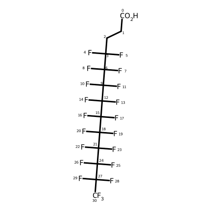 O=C(O)CCC(F)(F)C(F)(F)C(F)(F)C(F)(F)C(F)(F)C(F)(F)C(F)(F)C(F)(F)C(F)(F)C(F)(F)F